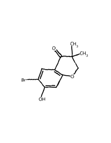 CC1(C)COc2cc(O)c(Br)cc2C1=O